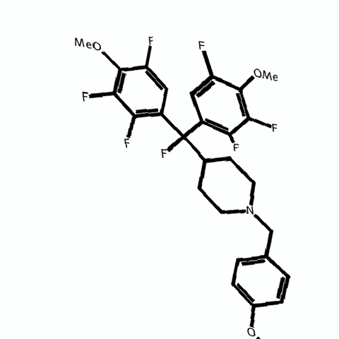 CCCOc1ccc(CN2CCC(C(F)(c3cc(F)c(OC)c(F)c3F)c3cc(F)c(OC)c(F)c3F)CC2)cc1